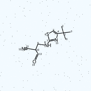 CC(C)(C)c1csc(NCC(C#N)C=O)n1